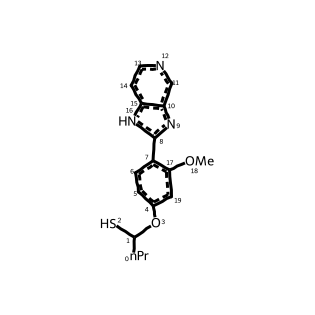 CCCC(S)Oc1ccc(-c2nc3cnccc3[nH]2)c(OC)c1